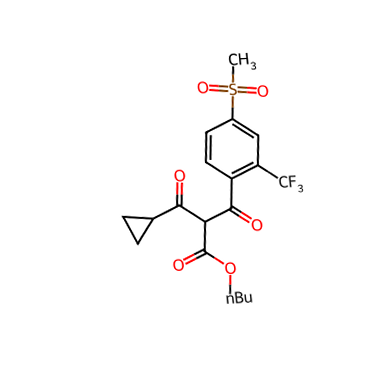 CCCCOC(=O)C(C(=O)c1ccc(S(C)(=O)=O)cc1C(F)(F)F)C(=O)C1CC1